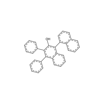 Oc1c(-c2ccccc2)c(-c2ccccc2)c2ccccc2c1-c1cccc2ccccc12